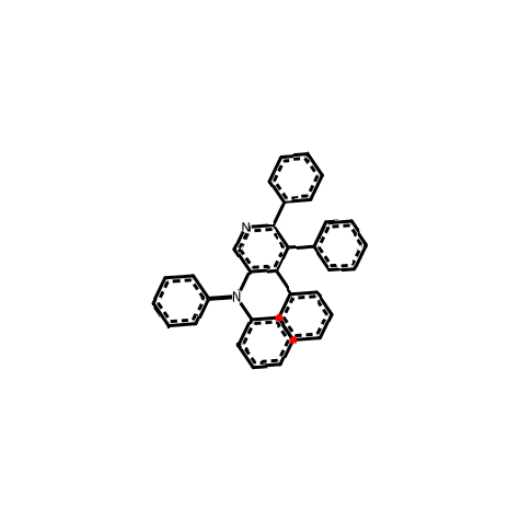 c1ccc(-c2ncc(N(c3ccccc3)c3ccccc3)c(-c3ccccc3)c2-c2ccccc2)cc1